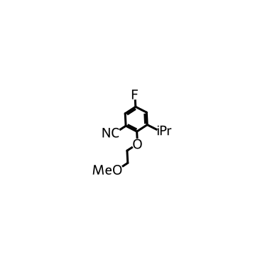 COCCOc1c(C#N)cc(F)cc1C(C)C